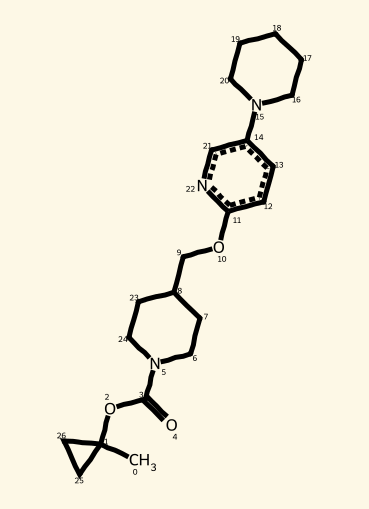 CC1(OC(=O)N2CCC(COc3ccc(N4CCCCC4)cn3)CC2)CC1